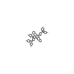 Cc1cc(C)c(B2c3cc(-n4c5ccc(C)cc5c5cc(C)ccc54)ccc3N3c4cc5ccccc5cc4N(c4ccc(-n5c6ccc(C)cc6c6cc(C)ccc65)cc4)c4cc5ccccc5c2c43)c(C)c1